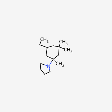 CCC1CC(C)(C)C[C@@](C)(N2CCCC2)C1